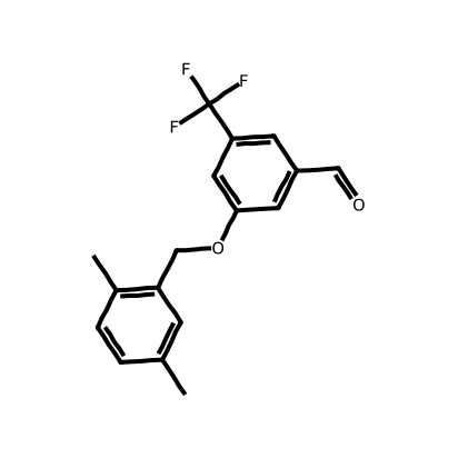 Cc1ccc(C)c(COc2cc(C=O)cc(C(F)(F)F)c2)c1